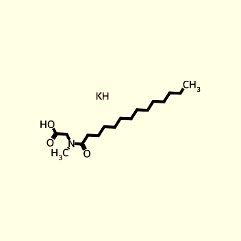 CCCCCCCCCCCCCC(=O)N(C)CC(=O)O.[KH]